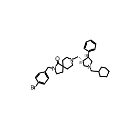 O=C1N(Cc2ccc(Br)cc2)CCC12CCN(C[C@H]1CN(CC3CCCCC3)C[C@@H]1c1ccccc1)CC2